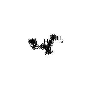 COc1cc2c(cc1OCCCCCOc1cc(N(CC3Cc4ccccc4N3C=O)C(=O)OCc3ccc(NC(=O)CNC(=O)C(N)C(C)C)cc3)c(C)cc1OC)N=C[C@@H]1Cc3ccccc3N1C2=O